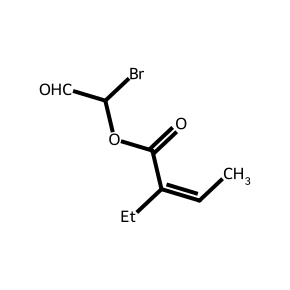 CC=C(CC)C(=O)OC(Br)C=O